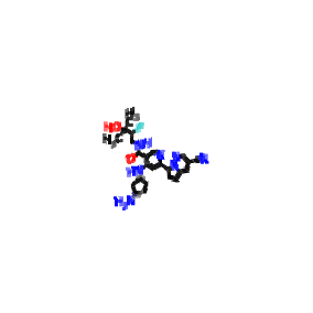 CC(C)(O)C(F)CNC(=O)c1cnc(-c2ccc3cc(C#N)cnn23)cc1N[C@@H]1CC[C@@H](N)C1